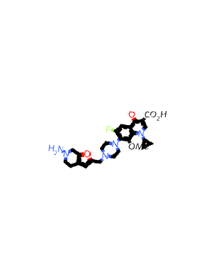 COc1c(N2CCN(Cc3cc4c(o3)CN(N)CC4)CC2)c(F)cc2c(=O)c(C(=O)O)cn(C3CC3)c12